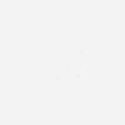 Cc1cccnc1C1=CCCC(=O)N1N1CCCC1